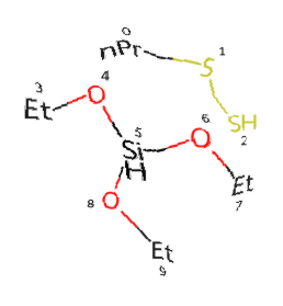 CCCSS.CCO[SiH](OCC)OCC